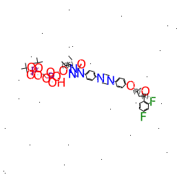 CC[C@@H]([C@H](C)OCOP(=O)(O)OCOP(=O)(OC(C)(C)C)OC(C)(C)C)n1ncn(-c2ccc(N3CCN(c4ccc(OC[C@@H]5CO[C@@](C)(c6ccc(F)cc6F)C5)cc4)CC3)cc2)c1=O